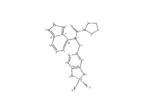 O=C(N1CCCC1)N(Cc1ccc2c(c1)OC(F)(F)O2)c1cccc2nonc12